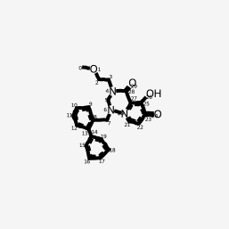 COCCN1CN(Cc2ccccc2-c2ccccc2)n2ccc(=O)c(O)c2C1=O